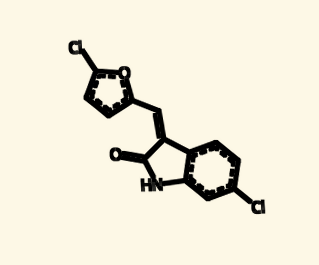 O=C1Nc2cc(Cl)ccc2C1=Cc1ccc(Cl)o1